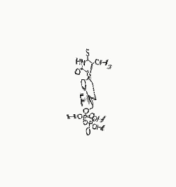 Cc1cn([C@H]2CC[C@@](F)(COP(=O)(O)OP(=O)(O)O)O2)c(=O)[nH]c1=S